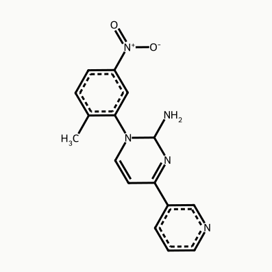 Cc1ccc([N+](=O)[O-])cc1N1C=CC(c2cccnc2)=NC1N